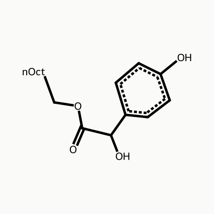 CCCCCCCCCOC(=O)C(O)c1ccc(O)cc1